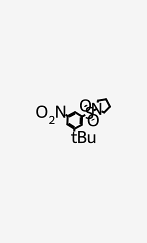 CC(C)(C)c1cc([N+](=O)[O-])cc(S(=O)(=O)N2CCCC2)c1